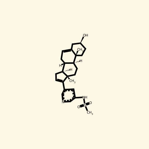 C[C@]12CC[C@H](O)CC1=CC[C@@H]1[C@@H]2CC[C@]2(C)C(c3cncc(NS(C)(=O)=O)c3)=CC[C@@H]12